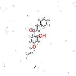 CC=CCOc1ccc(C(=O)C=Cc2ccccc2)c(O)c1